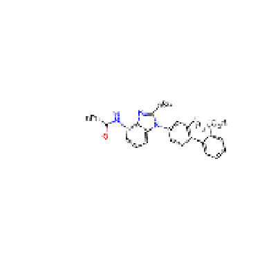 CCCCc1nc2c(NC(=O)CCC)cccc2n1-c1ccc(-c2ccccc2C(=O)O)c(C)c1